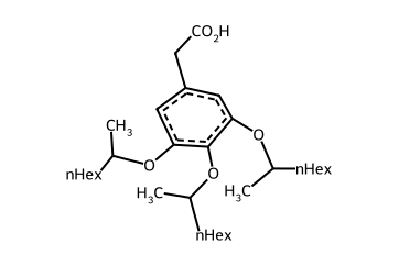 CCCCCCC(C)Oc1cc(CC(=O)O)cc(OC(C)CCCCCC)c1OC(C)CCCCCC